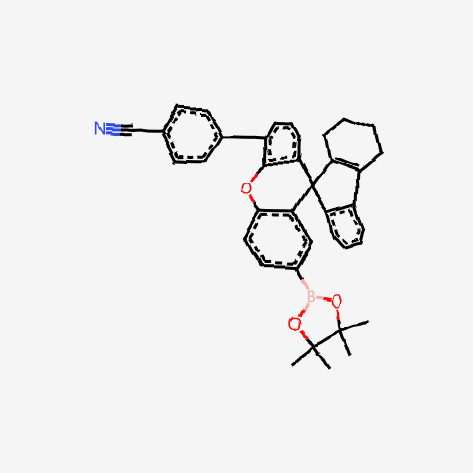 CC1(C)OB(c2ccc3c(c2)C2(C4=C(CCCC4)c4ccccc42)c2cccc(-c4ccc(C#N)cc4)c2O3)OC1(C)C